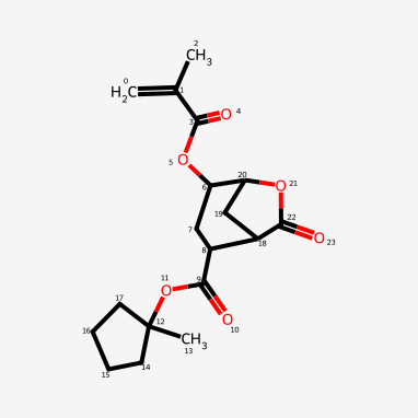 C=C(C)C(=O)OC1CC(C(=O)OC2(C)CCCC2)C2CC1OC2=O